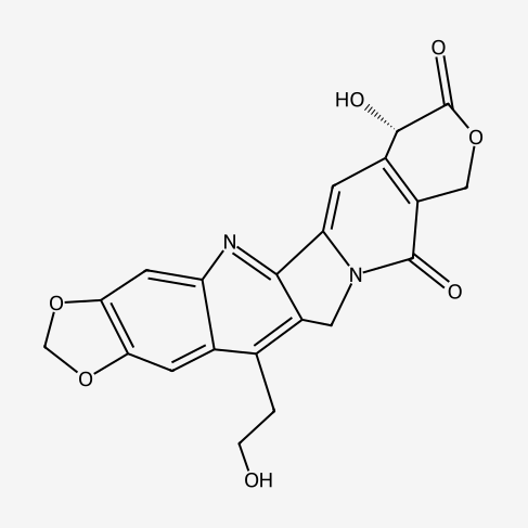 O=C1OCc2c(cc3n(c2=O)Cc2c-3nc3cc4c(cc3c2CCO)OCO4)[C@@H]1O